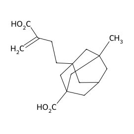 C=C(CCC12CC3CC(C)(C1)CC(C(=O)O)(C3)C2)C(=O)O